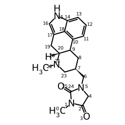 CN1C(=O)CN(C[C@@H]2CC3c4cccc5[nH]cc(c45)C[C@H]3N(C)C2)C1=O